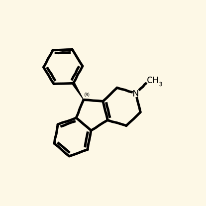 CN1CCC2=C(C1)[C@H](c1ccccc1)c1ccccc12